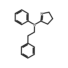 c1ccc(CCN(C2=NCCC2)c2ccccc2)cc1